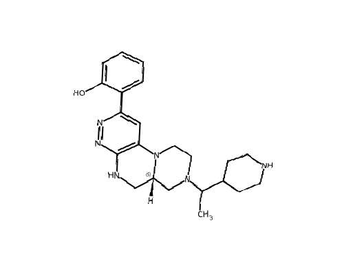 CC(C1CCNCC1)N1CCN2c3cc(-c4ccccc4O)nnc3NC[C@H]2C1